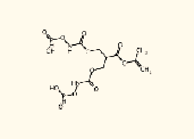 C=C(C)OC(=O)C(COC(=O)NO[PH](=O)O)COC(=O)NO[PH](=O)O